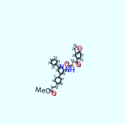 COC(=O)/C=C/c1ccc(-c2cc(NC(=O)CCC(=O)c3ccc4c(c3)CCO4)nc(-c3ccccc3)c2)cc1